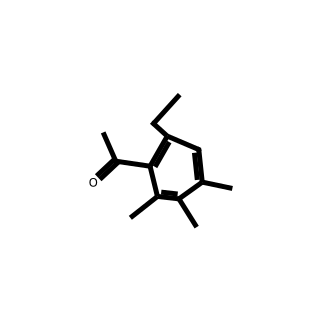 CCc1cc(C)c(C)c(C)c1C(C)=O